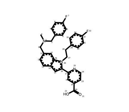 CN(Cc1ccc(F)cc1)Cc1ccc2cc(-c3cc(C(=O)O)ccn3)n(CCc3ccc(F)cc3)c2c1